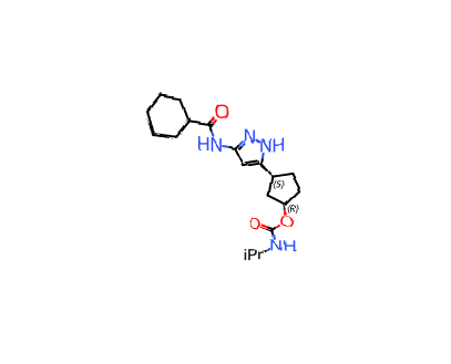 CC(C)NC(=O)O[C@@H]1CC[C@H](c2cc(NC(=O)C3CCCCC3)n[nH]2)C1